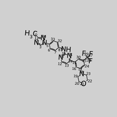 Cc1ncn(-c2ccc(Nc3nccc(-c4cc(N5CCOCC5)cc(C(F)(F)F)c4)n3)cc2)n1